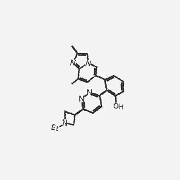 CCN1CC(c2ccc(-c3c(O)cccc3-c3cc(C)c4nc(C)cn4c3)nn2)C1